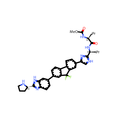 COC(=O)N[C@H](C(=O)N[C@H](c1nc(-c2ccc3c(c2)C(F)(F)c2cc(-c4ccc5nc([C@@H]6CCCN6)[nH]c5c4)ccc2-3)c[nH]1)C(C)C)C(C)C